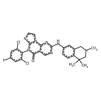 CN1Cc2cc(Nc3ncc4c(=O)n(-c5c(Cl)cc(F)cc5Cl)c5nccn5c4n3)ccc2C(C)(C)C1